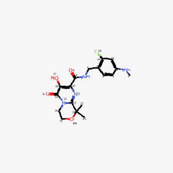 CNc1ccc(CNC(=O)c2nc3n(c(=O)c2O)CCOC3(C)C)c(F)c1